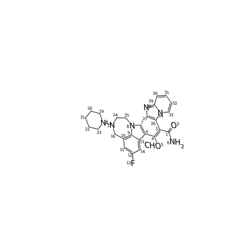 NC(=O)/C(=C(\C=O)c1cn2c3c(cc(F)cc13)CN(N1CCCCC1)CC2)c1cnc2ccccn12